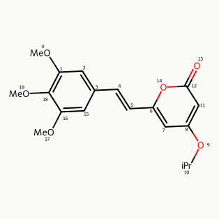 COc1cc(/C=C/c2cc(OC(C)C)cc(=O)o2)cc(OC)c1OC